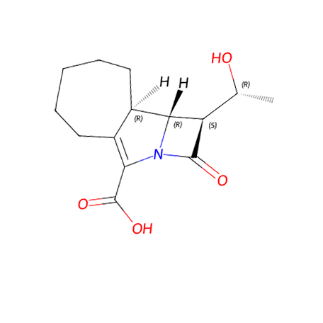 C[C@@H](O)[C@H]1C(=O)N2C(C(=O)O)=C3CCCCC[C@H]3[C@H]12